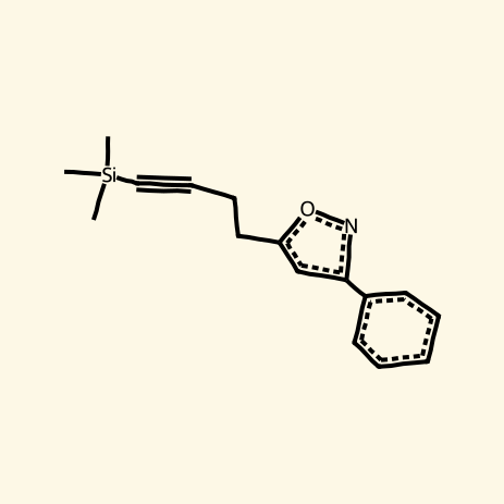 C[Si](C)(C)C#CCCc1cc(-c2ccccc2)no1